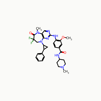 COc1cc(C(=O)NC2CCN(C)CC2)ccc1Nc1ncc2c(n1)N(C1CC1c1ccccc1)CC(F)(F)C(=O)N2C